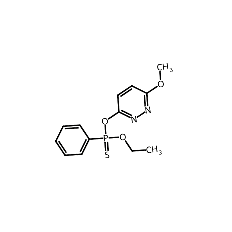 CCOP(=S)(Oc1ccc(OC)nn1)c1ccccc1